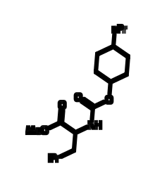 CCCC1CCC(OC(=O)NC(CC(C)C)C(=O)OC)CC1